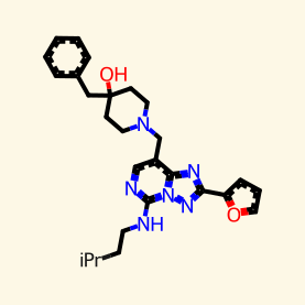 CC(C)CCNc1ncc(CN2CCC(O)(Cc3ccccc3)CC2)c2nc(-c3ccco3)nn12